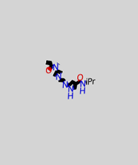 C=CC(=O)N(C)C1CN(/C=C/N=C2\CC(C(=O)NC(C)C)=CN2)C1